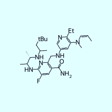 C/C=C\N(C)c1cc(NCc2nc(NC(C)[C@H](C)NC(C)CC(C)(C)C)c(F)cc2C(N)=O)cnc1CC